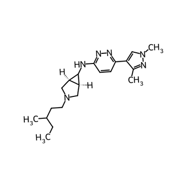 CCC(C)CCN1C[C@@H]2C(Nc3ccc(-c4cn(C)nc4C)nn3)[C@@H]2C1